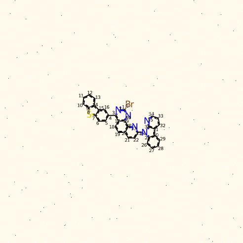 Brc1nc(-c2ccc3sc4ccccc4c3c2)c2ccc3ccc(-n4c5ccccc5c5cccnc54)nc3c2n1